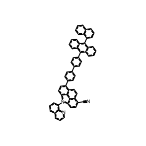 N#Cc1ccc2c3c1ccc1c(-c4ccc(-c5ccc(-c6c7ccccc7c(-c7cccc8ccccc78)c7ccccc67)cc5)cc4)ccc(c13)n2-c1cccc2cccnc12